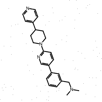 CN(C)Cc1cccc(-c2ccc(N3CCC(c4ccncc4)CC3)nc2)c1